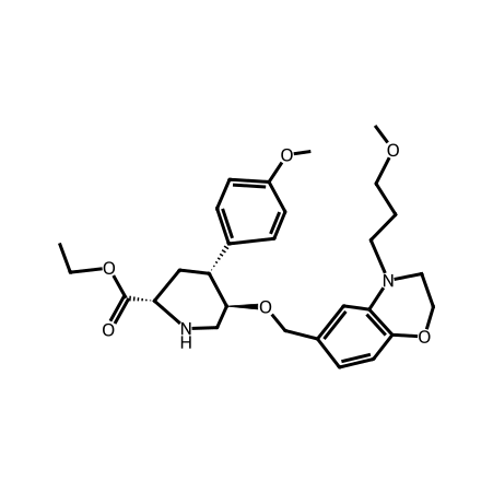 CCOC(=O)[C@@H]1C[C@H](c2ccc(OC)cc2)[C@@H](OCc2ccc3c(c2)N(CCCOC)CCO3)CN1